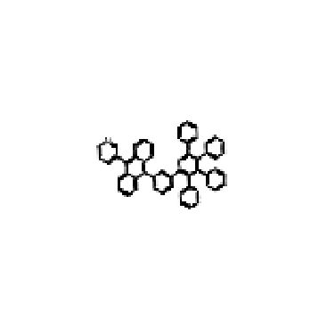 c1ccc(-c2cc(-c3cccc(-c4c5ccccc5c(-c5cccnc5)c5ccccc45)c3)c(-c3ccccc3)c(-c3ccccc3)c2-c2ccccc2)cc1